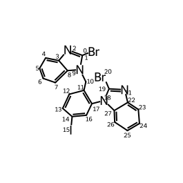 Brc1nc2ccccc2n1Cc1ccc(I)cc1-n1c(Br)nc2ccccc21